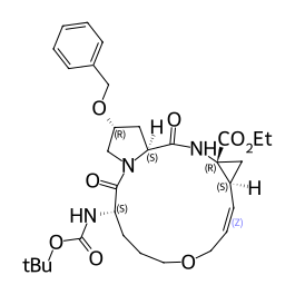 CCOC(=O)[C@@]12C[C@H]1/C=C\COCCC[C@H](NC(=O)OC(C)(C)C)C(=O)N1C[C@H](OCc3ccccc3)C[C@H]1C(=O)N2